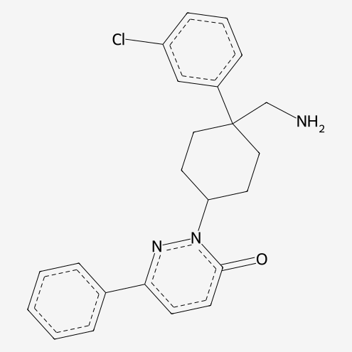 NCC1(c2cccc(Cl)c2)CCC(n2nc(-c3ccccc3)ccc2=O)CC1